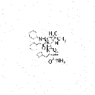 CC1(C)C2CN(C(=O)[C@@H](NC3CCCCC3)C3CCCCC3)C(C(=O)NC(CC3CCC3)C(=O)C(N)=O)[C@@H]21